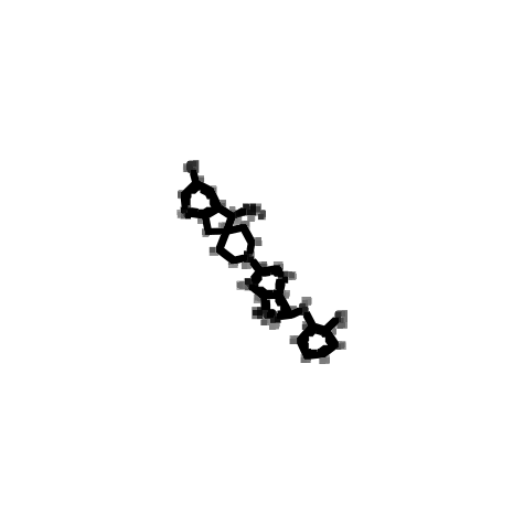 N[C@@H]1c2cc(Cl)cnc2CC12CCN(c1cnc3c(Sc4ccccc4Cl)n[nH]c3n1)CC2